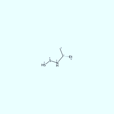 CC[C@@H](C)NSS